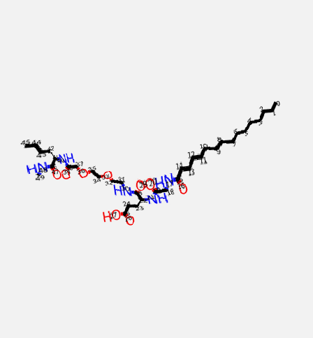 CCCCCCCCCCCCCCCC(=O)NCC(=O)N[C@@H](CCC(=O)O)C(=O)NCCOCCOCC(=O)N[C@@H](CCCC)C(=O)NC